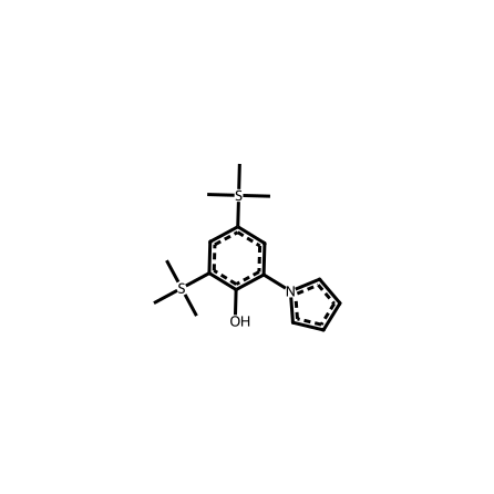 CS(C)(C)c1cc(-n2cccc2)c(O)c(S(C)(C)C)c1